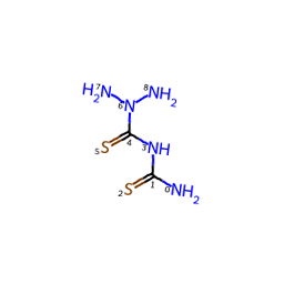 NC(=S)NC(=S)N(N)N